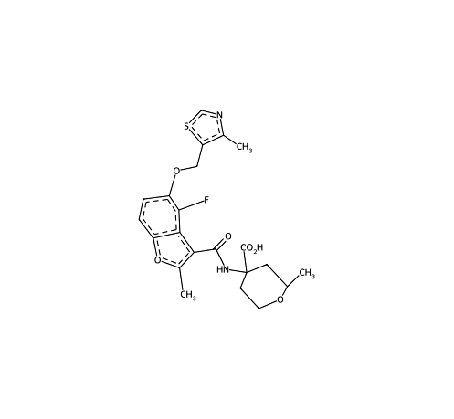 Cc1ncsc1COc1ccc2oc(C)c(C(=O)NC3(C(=O)O)CCOC(C)C3)c2c1F